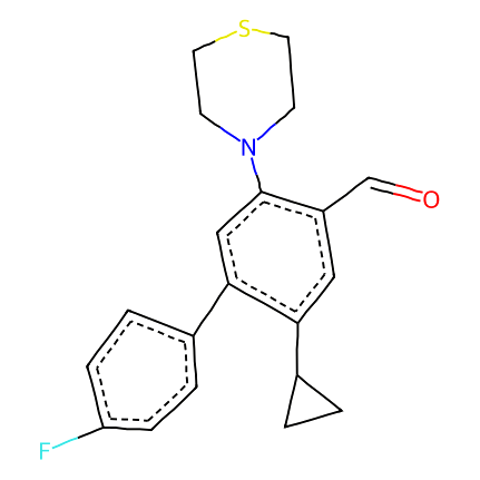 O=Cc1cc(C2CC2)c(-c2ccc(F)cc2)cc1N1CCSCC1